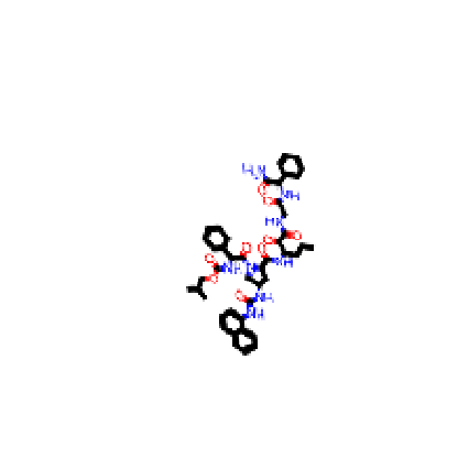 CCCC(NC(=O)C1C[C@H](NC(=O)Nc2cccc3ccccc23)CN1C(=O)[C@H](NC(=O)OCC(C)C)C1CCCCC1)C(=O)C(=O)NCC(=O)N[C@@H](C(N)=O)c1ccccc1